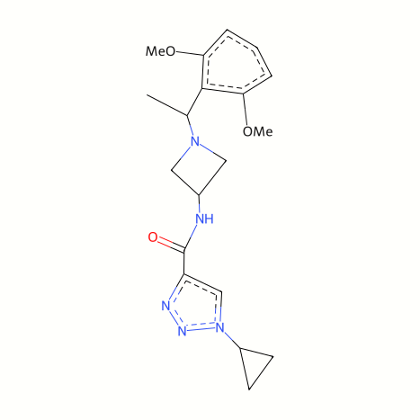 COc1cccc(OC)c1C(C)N1CC(NC(=O)c2cn(C3CC3)nn2)C1